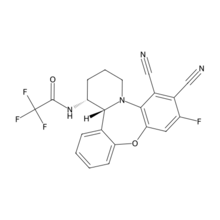 N#Cc1c(F)cc2c(c1C#N)N1CCC[C@@H](NC(=O)C(F)(F)F)[C@H]1c1ccccc1O2